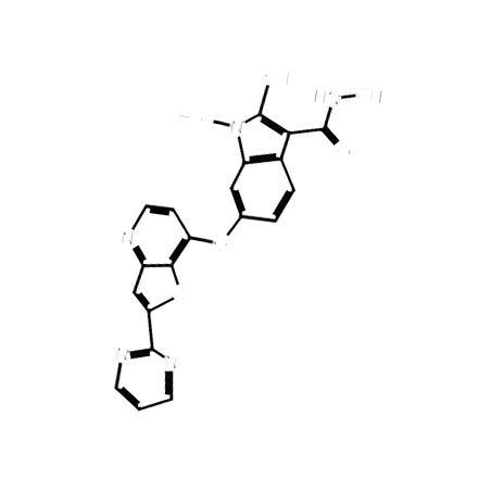 CNC(=O)c1c(C)n(C)c2cc(Oc3ccnc4cc(-c5ncccn5)sc34)ccc12